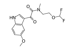 COc1ccc2[nH]cc(C(=O)C(=O)N(C)CCOC(F)F)c2c1